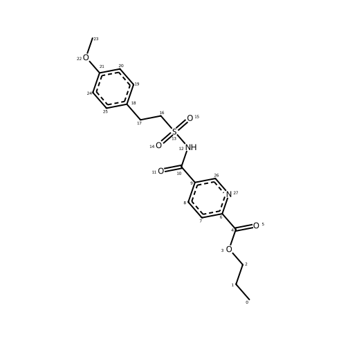 CCCOC(=O)c1ccc(C(=O)NS(=O)(=O)CCc2ccc(OC)cc2)cn1